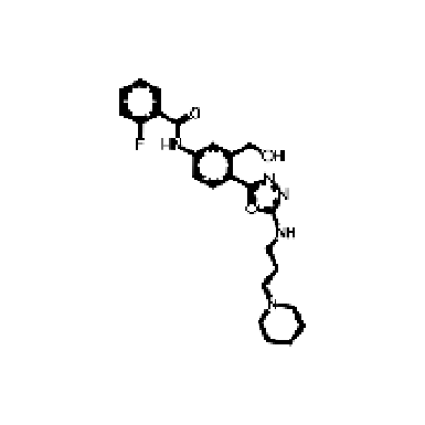 O=C(Nc1ccc(-c2nnc(NCCCN3CCCCC3)o2)c(CO)c1)c1ccccc1F